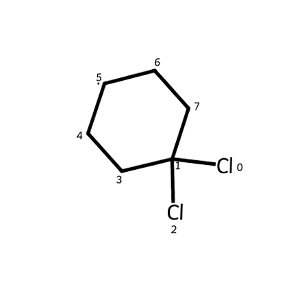 ClC1(Cl)CC[CH]CC1